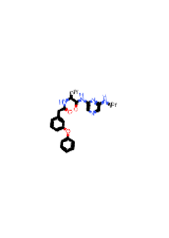 CCCC(NC(=O)Cc1cccc(Oc2ccccc2)c1)C(=O)Nc1cncc(NC(C)C)n1